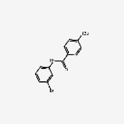 CC(C)(C)c1ccc(C(=O)Nc2cccc(Br)c2)cc1